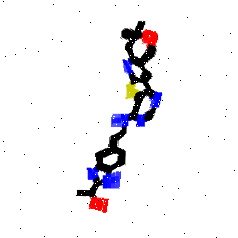 CC(O)c1nc2cc(CCNc3ncnc4c3sc3nc5c(cc34)COC(C)(C)C5)ccc2[nH]1